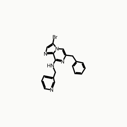 Brc1cnc2c(NCc3cccnc3)nc(Cc3ccccc3)cn12